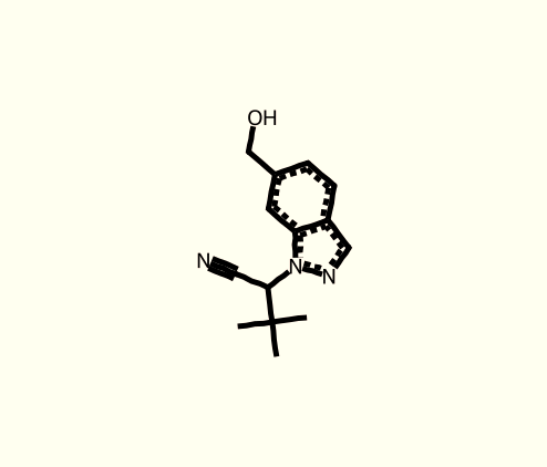 CC(C)(C)C(C#N)n1ncc2ccc(CO)cc21